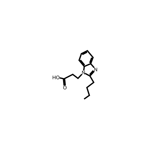 CCCCc1nc2ccccc2n1CCC(=O)O